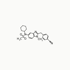 Cn1c(Cc2ccc(C#N)cc2)nc2cc(N(C3CCCCC3)S(C)(=O)=O)ccc21